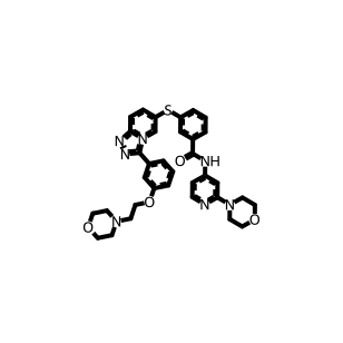 O=C(Nc1ccnc(N2CCOCC2)c1)c1cccc(Sc2ccc3nnc(-c4cccc(OCCN5CCOCC5)c4)n3c2)c1